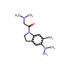 CN(C)CC(=O)N1CCc2cc(N(C)C)c([N+](=O)[O-])cc21